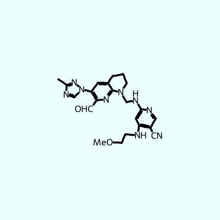 COCCNc1cc(NCN2CCCc3cc(-n4cnc(C)n4)c(C=O)nc32)ncc1C#N